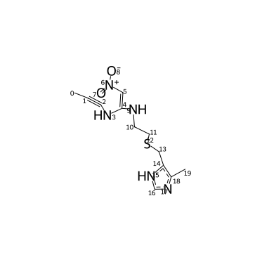 CC#CNC(=C[N+](=O)[O-])NCCSCc1[nH]cnc1C